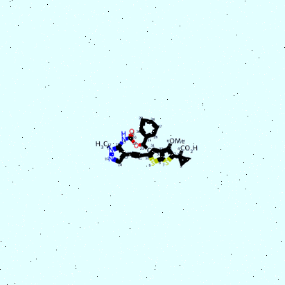 COc1c(C2(C(=O)O)CC2)sc2sc(C#Cc3cnn(C)c3NC(=O)OC(C)c3ccccc3)cc12